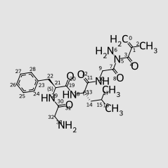 C=C(C)C(=O)N(N)C(=O)CNC(=O)[C@H](CC(C)C)NC(=O)[C@H](Cc1ccccc1)NC(=O)CN